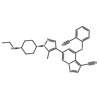 CCN[C@H]1CC[C@@H](n2ncc(-c3cc(Sc4ccccc4C#N)c4c(C#N)cnn4c3)c2C)CC1